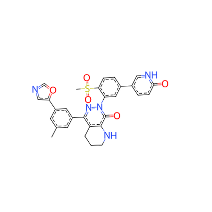 Cc1cc(-c2cnco2)cc(-c2nn(-c3cc(-c4ccc(=O)[nH]c4)ccc3S(C)(=O)=O)c(=O)c3c2CCCN3)c1